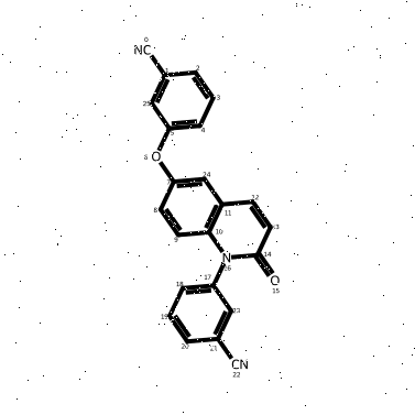 N#Cc1cccc(Oc2ccc3c(ccc(=O)n3-c3cccc(C#N)c3)c2)c1